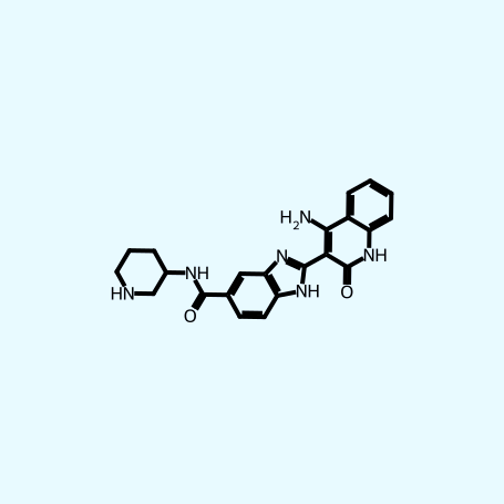 Nc1c(-c2nc3cc(C(=O)NC4CCCNC4)ccc3[nH]2)c(=O)[nH]c2ccccc12